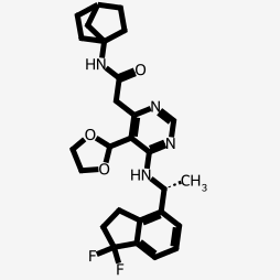 C[C@@H](Nc1ncnc(CC(=O)NC23CCC(CC2)C3)c1C1OCCO1)c1cccc2c1CCC2(F)F